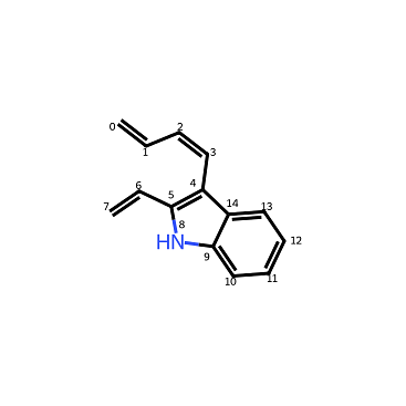 C=C/C=C\c1c(C=C)[nH]c2ccccc12